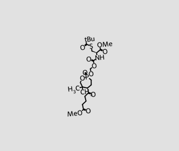 COC(=O)CCCC(=O)[C@@H]1CCP(=O)(OCOC(=O)N[C@@H](CSC(=O)C(C)(C)C)C(=O)OC)OCC1(C)C